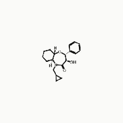 O=C1[C@H](O)[C@@H](c2ccccc2)O[C@H]2CCCC[C@@H]2N1CC1CC1